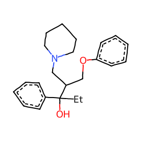 CCC(O)(c1ccccc1)C(COc1ccccc1)CN1CCCCC1